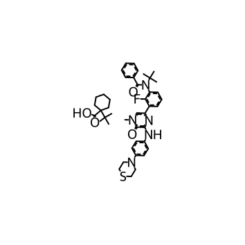 CC(C)(C)C1(C(=O)O)CCCCC1.Cn1cc(-c2cccc(N(C(=O)c3ccccc3)C(C)(C)C)c2F)nc(Nc2ccc(N3CCSCC3)cc2)c1=O